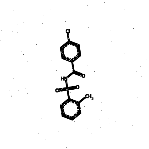 Cc1ccccc1S(=O)(=O)NC(=O)c1ccc(Cl)cc1